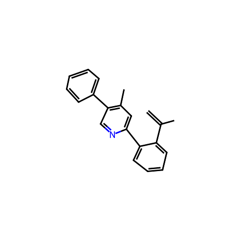 C=C(C)c1ccccc1-c1cc(C)c(-c2ccccc2)cn1